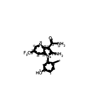 Cc1ccc(O)cc1-n1c(N)c(C(N)=O)c2ncc(C(F)(F)F)cc21